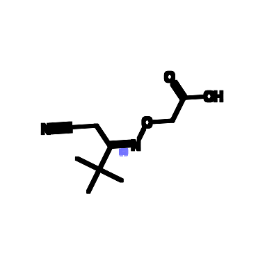 CC(C)(C)/C(CC#N)=N/OCC(=O)O